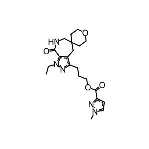 CCn1nc(CCCOC(=O)c2ccn(C)n2)c2c1C(=O)NCC1(CCOCC1)C2